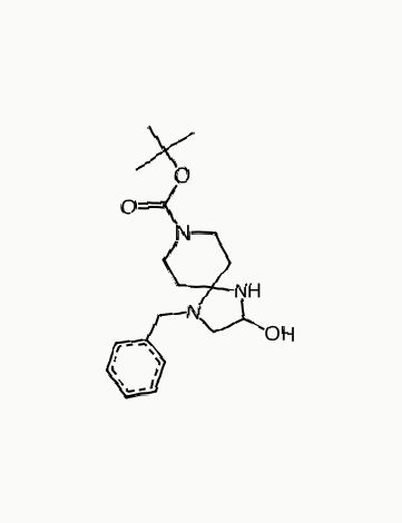 CC(C)(C)OC(=O)N1CCC2(CC1)NC(O)CN2Cc1ccccc1